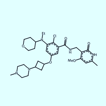 CCN(c1cc(OC2CC(N3CCN(C)CC3)C2)cc(C(=O)NCc2c(OC)cc(C)[nH]c2=O)c1Cl)C1CCOCC1